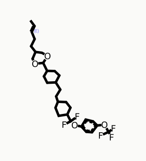 C/C=C/CCC1COC(C2CCC(CCC3CCC(C(F)(F)Oc4ccc(OC(F)(F)F)cc4)CC3)CC2)OC1